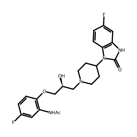 CC(=O)Nc1cc(F)ccc1OC[C@@H](O)CN1CCC(n2c(=O)[nH]c3cc(F)ccc32)CC1